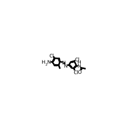 CC(=O)Nc1c(Cl)cc(/N=N/c2cc(Cl)c(N)cc2C)cc1Cl